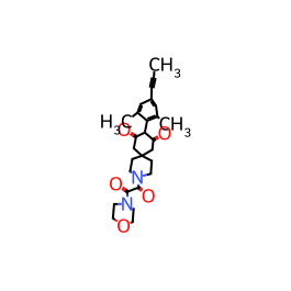 CC#Cc1cc(C)c(C2C(=O)CC3(CCN(C(=O)C(=O)N4CCOCC4)CC3)CC2=O)c(C)c1